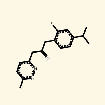 Cc1ccc(CC(=O)Cc2ccc(C(C)C)cc2F)nn1